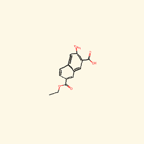 CCOC(=O)c1ccc2cc(O)c(C(=O)O)cc2c1